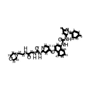 Cc1ccc(-n2nc(C)cc2NC(=O)Nc2ccc(Oc3ccnc(NC(=O)NCC(=O)NCCN4CCOCC4)c3)c3ccccc23)cc1